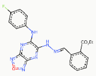 CCOC(=O)c1ccccc1C=NNc1nc2nonc2nc1Nc1ccc(F)cc1